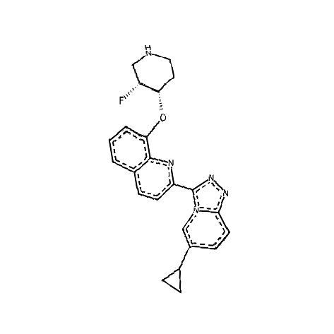 F[C@@H]1CNCC[C@@H]1Oc1cccc2ccc(-c3nnc4ccc(C5CC5)cn34)nc12